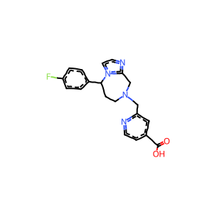 O=C(O)c1ccnc(CN2CCC(c3ccc(F)cc3)n3ccnc3C2)c1